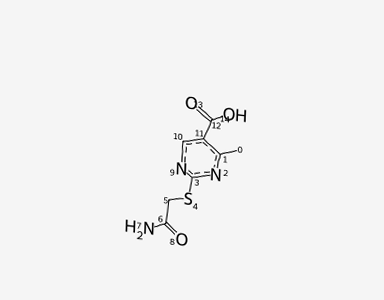 Cc1nc(SCC(N)=O)ncc1C(=O)O